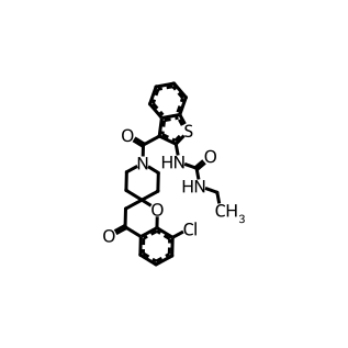 CCNC(=O)Nc1sc2ccccc2c1C(=O)N1CCC2(CC1)CC(=O)c1cccc(Cl)c1O2